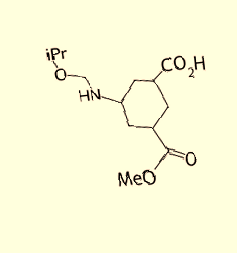 COC(=O)C1CC(NCOC(C)C)CC(C(=O)O)C1